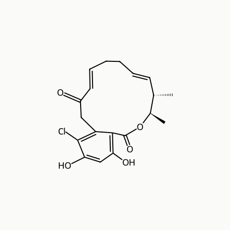 C[C@H]1/C=C/CC/C=C/C(=O)Cc2c(Cl)c(O)cc(O)c2C(=O)O[C@@H]1C